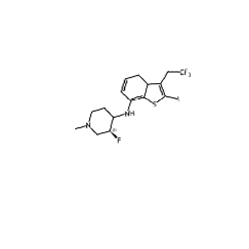 CN1CCC(NC2=C3SC(I)=C(CC(F)(F)F)C3CC=C2)[C@@H](F)C1